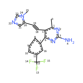 Cc1nc(N)nc(-c2cccc(C(F)(F)F)c2)c1C#Cc1cncn1C